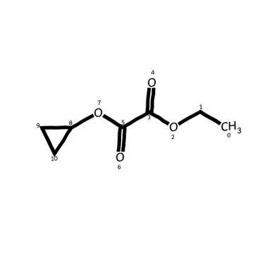 CCOC(=O)C(=O)OC1CC1